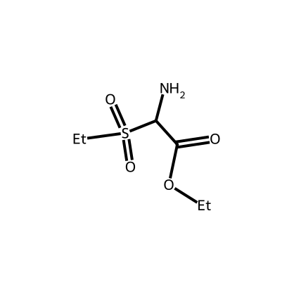 CCOC(=O)C(N)S(=O)(=O)CC